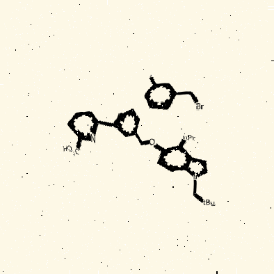 BrCc1cccc(I)c1.CCCc1c(OCc2cccc(-c3cccc(C(=O)O)n3)c2)ccc2c1ccn2CC(C)(C)C